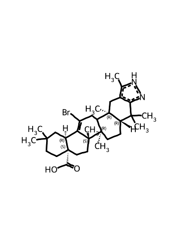 Cc1[nH]nc2c1C[C@]1(C)C3CC(Br)=C4[C@@H]5CC(C)(C)CC[C@]5(C(=O)O)CC[C@@]4(C)[C@]3(C)CC[C@H]1C2(C)C